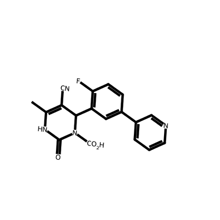 CC1=C(C#N)C(c2cc(-c3cccnc3)ccc2F)N(C(=O)O)C(=O)N1